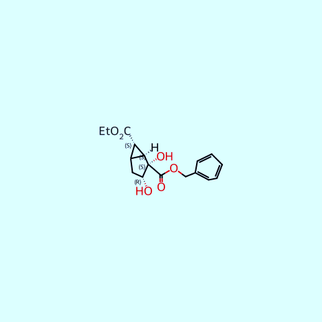 CCOC(=O)[C@H]1C2C[C@@H](O)[C@](O)(C(=O)OCc3ccccc3)[C@@H]21